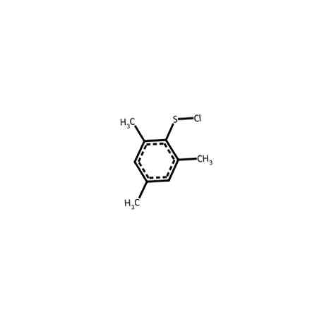 Cc1cc(C)c(SCl)c(C)c1